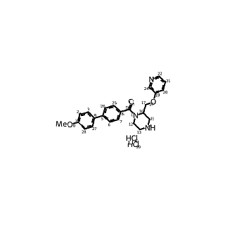 COc1ccc(-c2ccc(C(=O)N3CCNCC3COc3cccnc3)cc2)cc1.Cl.Cl